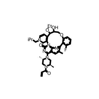 C=CC(=O)N1C[C@H](C)N(c2nc(=O)n3c4nc(c(C)cc24)-c2c(F)cccc2OCC(O)C(OCC)C2=C3[C@@H](C)N(CC(C)C)C=C2)C[C@H]1C